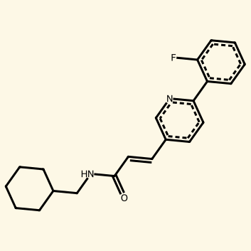 O=C(/C=C/c1ccc(-c2ccccc2F)nc1)NCC1CCCCC1